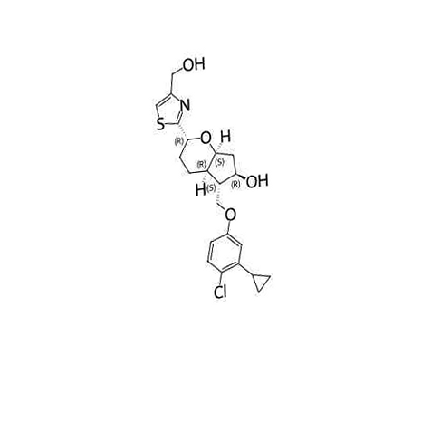 OCc1csc([C@H]2CC[C@@H]3[C@@H](COc4ccc(Cl)c(C5CC5)c4)[C@H](O)C[C@@H]3O2)n1